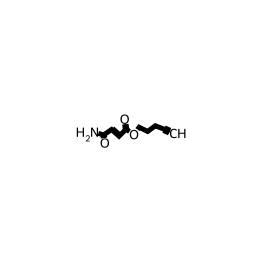 C#CCCCOC(=O)/C=C/C(N)=O